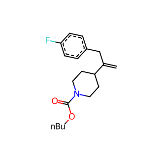 C=C(Cc1ccc(F)cc1)C1CCN(C(=O)OCCCC)CC1